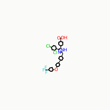 O=C(O)c1ccc(-c2[nH]c(Cc3ccc(-c4ccc(Oc5ccc(C(F)(F)F)cc5)cc4)cc3)nc2-c2ccc(Cl)cc2Cl)cc1